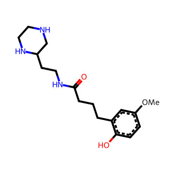 COc1ccc(O)c(CCCC(=O)NCCC2CNCCN2)c1